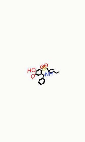 CCCCC1(CC)CS(=O)(=O)c2cc(O)c(OC)cc2C(c2ccccc2)N1